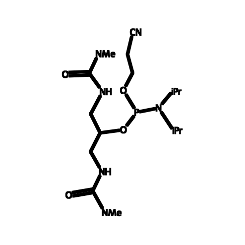 CNC(=O)NCC(CNC(=O)NC)OP(OCCC#N)N(C(C)C)C(C)C